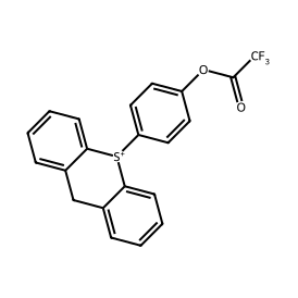 O=C(Oc1ccc([S+]2c3ccccc3Cc3ccccc32)cc1)C(F)(F)F